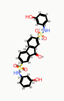 O=C1c2cc(S(=O)(=O)Nc3cccc(O)c3)ccc2-c2ccc(S(=O)(=O)Nc3cccc(O)c3)cc21